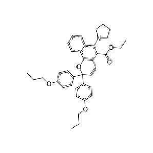 CCCOc1ccc(C2(c3ccc(OCCC)cc3)C=Cc3c(C(=O)OCC)c(N4CCCC4)c4ccccc4c3O2)cc1